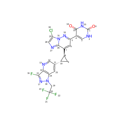 O=c1[nH]cc(-c2cc([C@H]3C[C@@H]3c3cnc4c(F)nn(CC(F)(F)F)c4c3)c3ncc(Cl)n3n2)c(=O)[nH]1